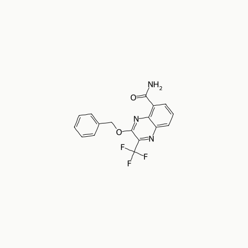 NC(=O)c1cccc2nc(C(F)(F)F)c(OCc3ccccc3)nc12